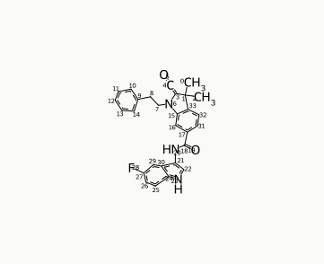 CC1(C)C(=C=O)N(CCc2ccccc2)c2cc(C(=O)Nc3c[nH]c4ccc(F)cc34)ccc21